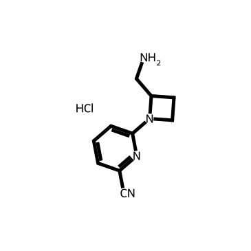 Cl.N#Cc1cccc(N2CCC2CN)n1